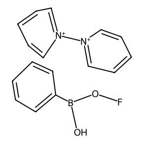 OB(OF)c1ccccc1.c1cc[n+](-[n+]2ccccc2)cc1